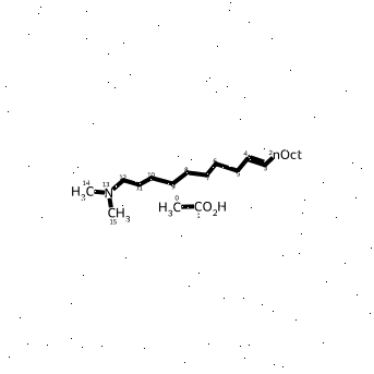 CC(=O)O.CCCCCCCCC=CCCCCCCCCN(C)C